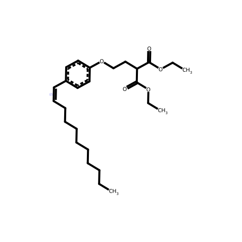 CCCCCCCCC/C=C\c1ccc(OCCC(C(=O)OCC)C(=O)OCC)cc1